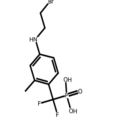 Cc1cc(NCCBr)ccc1C(F)(F)P(=O)(O)O